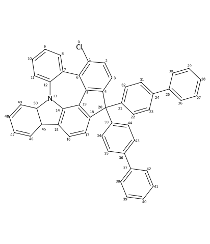 Clc1ccc2c3c1-c1ccccc1N1c4c(ccc(c4-3)C2(c2ccc(-c3ccccc3)cc2)c2ccc(-c3ccccc3)cc2)C2C=CC=CC21